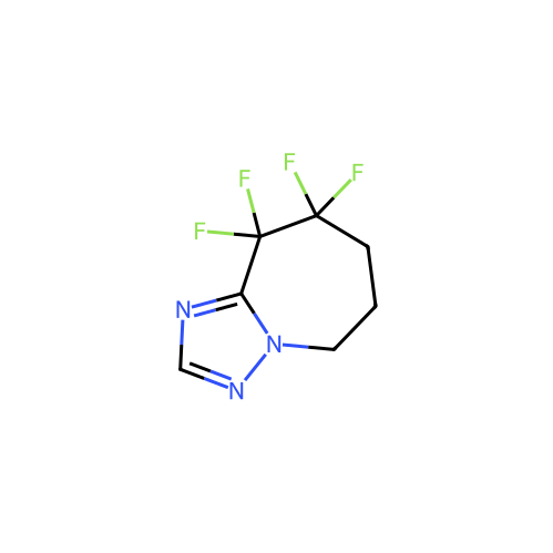 FC1(F)CCCn2ncnc2C1(F)F